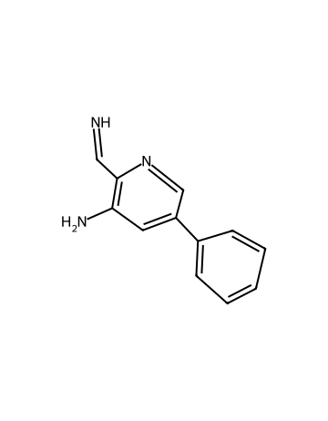 N=Cc1ncc(-c2ccccc2)cc1N